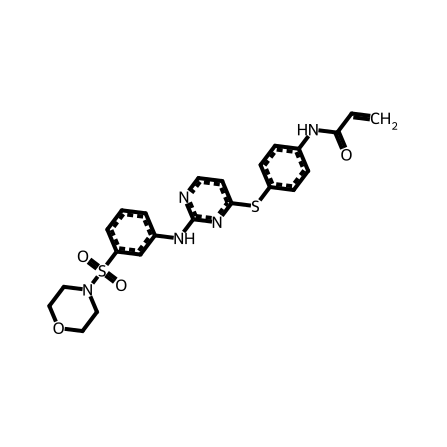 C=CC(=O)Nc1ccc(Sc2ccnc(Nc3cccc(S(=O)(=O)N4CCOCC4)c3)n2)cc1